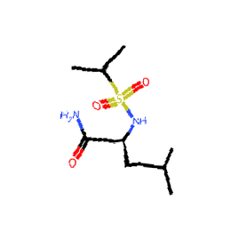 CC(C)C[C@H](NS(=O)(=O)C(C)C)C(N)=O